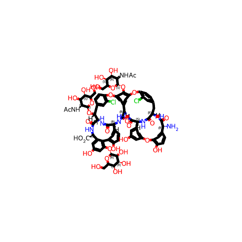 CC(=O)NC1[C@H](Oc2c3cc4cc2Oc2ccc(cc2Cl)[C@@H](O[C@@H]2OC(CO)[C@@H](O)C(O)[C@@H]2NC(C)=O)[C@@H]2NC(=O)[C@H](NC(=O)[C@@H]4NC(=O)[C@H]4NC(=O)[C@@H](Cc5ccc(c(Cl)c5)O3)NC(=O)[C@H](N)c3ccc(O)c(c3)Oc3cc(O)cc4c3)c3ccc(O)c(c3)-c3c(O[C@H]4OC(CO)[C@@H](O)[C@@H](O)C4O)cc(O)cc3[C@@H](C(=O)O)NC2=O)OC(CO)[C@@H](O)[C@@H]1O